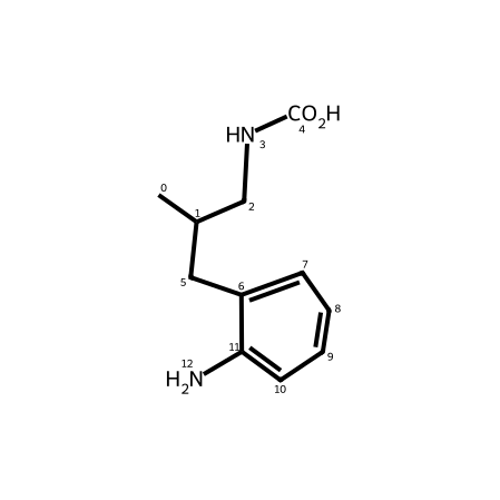 CC(CNC(=O)O)Cc1ccccc1N